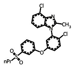 CCCS(=O)(=O)c1cccc(Oc2ccc(Cl)c(-n3c(C)nc4c(Cl)cccc43)c2)c1